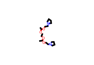 CC(OCCOC(C)OCCN1CCCC1)OCCN1CCCC1